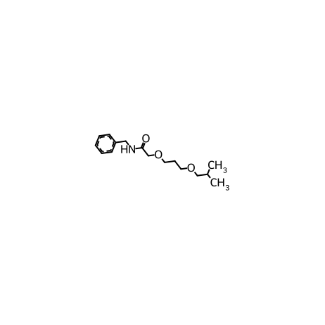 CC(C)COCCCOCC(=O)NCc1ccccc1